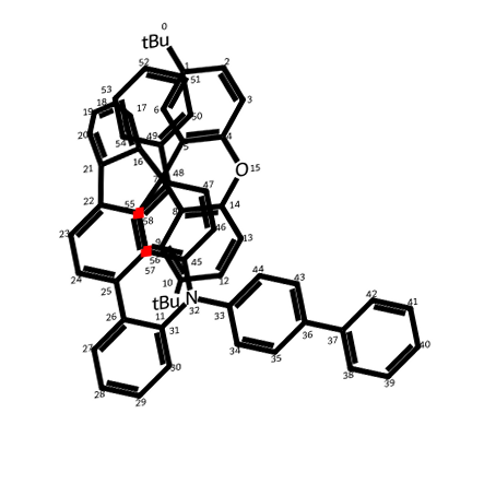 CC(C)(C)c1ccc2c(c1)C1(c3cc(C(C)(C)C)ccc3O2)c2ccccc2-c2ccc(-c3ccccc3N(c3ccc(-c4ccccc4)cc3)c3ccc(-c4ccccc4)cc3)cc21